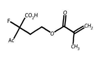 C=C(C)C(=O)OCCC(F)(C(C)=O)C(=O)O